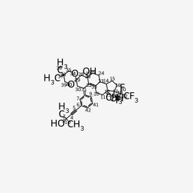 CC(C)(O)C#Cc1ccc([C@H]2CC3(C)C(CCC3(O)C(F)(F)C(F)(F)F)C3CCC4(O)CC5(CCC4=C32)OCC(C)(C)CO5)cc1